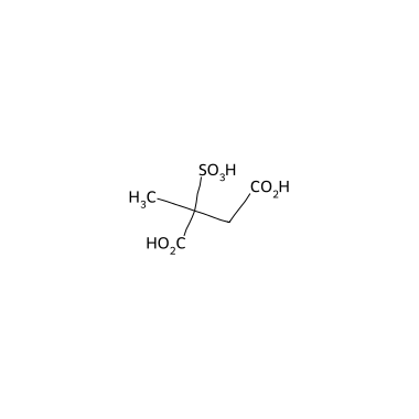 CC(CC(=O)O)(C(=O)O)S(=O)(=O)O